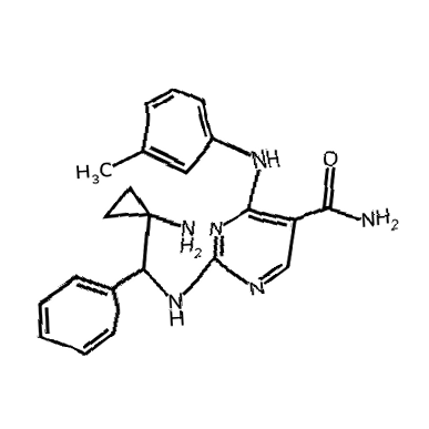 Cc1cccc(Nc2nc(NC(c3ccccc3)C3(N)CC3)ncc2C(N)=O)c1